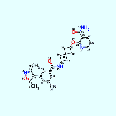 Cc1noc(C)c1-c1cc(C#N)cc(C(=O)NC2CC3(C2)CC(Oc2ncccc2C(N)=O)C3)c1